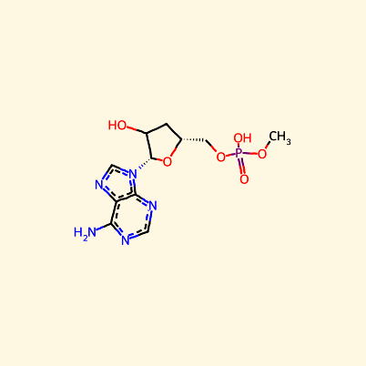 COP(=O)(O)OC[C@H]1CC(O)[C@@H](n2cnc3c(N)ncnc32)O1